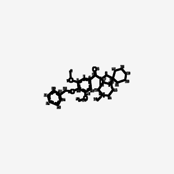 COc1cc(C(=O)NCC2(N3CCN(C)CC3)CCCCC2)cc(OC)c1OCc1ccccc1